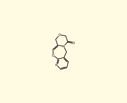 O=C1COCC2=COc3ncccc3CN12